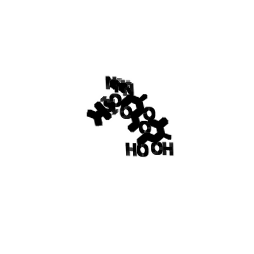 CCC1O[C@@H](O[Si](C)(C)C(C)(C)C(C)C)C(N=[N+]=[N-])[C@@H](C)[C@@H]1O[C@@H]1OC(CO)[C@@H](O)[C@H](C)C1C